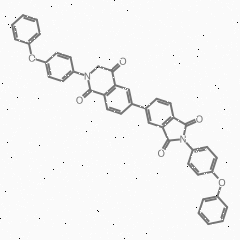 O=C1CN(c2ccc(Oc3ccccc3)cc2)C(=O)c2ccc(-c3ccc4c(c3)C(=O)N(c3ccc(Oc5ccccc5)cc3)C4=O)cc21